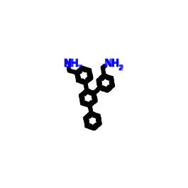 NCc1cccc(-c2ccc(-c3ccccc3)cc2-c2cccc(CN)c2)c1